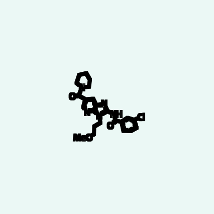 COCCCn1c(NC(=O)c2cccc(Cl)c2)nc2cc(C(=O)N3CCCCC3)cnc21